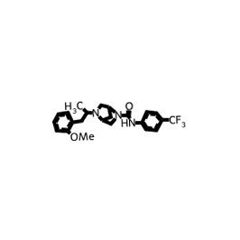 COc1ccccc1CC(C)N1CC2CC1CN2C(=O)Nc1ccc(C(F)(F)F)cc1